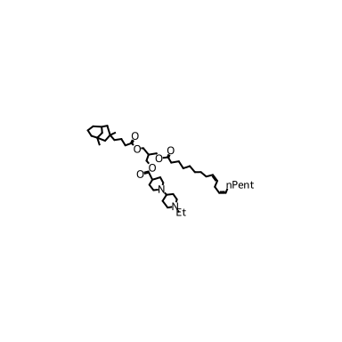 CCCCC/C=C\C/C=C\CCCCCCCC(=O)OCC(COC(=O)CCCC1(C)CC2CCCC(C)(C2)C1)COC(=O)C1CCN(C2CCN(CC)CC2)CC1